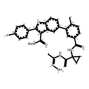 C=C(N/C(C)=N\N)C1(NC(=O)c2ccc(C)c(-c3ccc4oc(-c5ccc(F)cc5)c(C(=O)NC)c4c3)c2)CC1